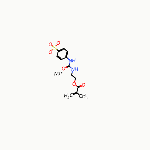 C=C(C)C(=O)OCCNC(=O)Nc1ccc(S(=O)(=O)[O-])cc1.[Na+]